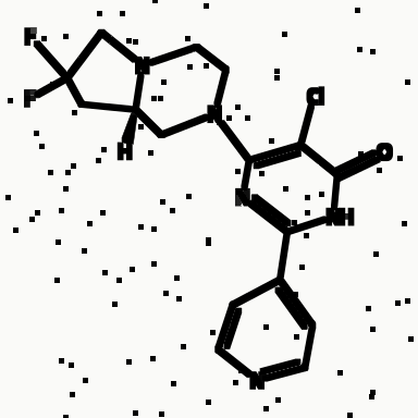 O=c1[nH]c(-c2ccncc2)nc(N2CCN3CC(F)(F)C[C@H]3C2)c1Cl